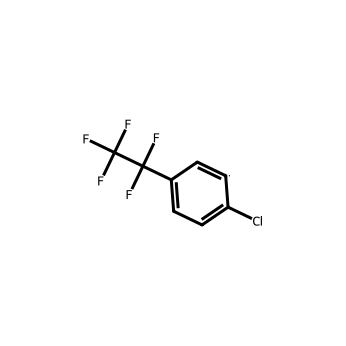 FC(F)(F)C(F)(F)c1c[c]c(Cl)cc1